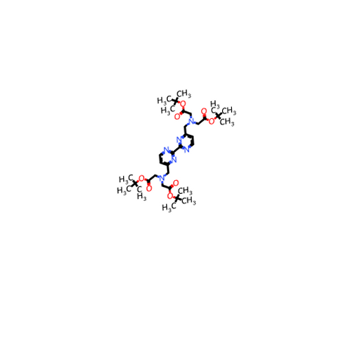 CC(C)(C)OC(=O)CN(CC(=O)OC(C)(C)C)Cc1ccnc(-c2nccc(CN(CC(=O)OC(C)(C)C)CC(=O)OC(C)(C)C)n2)n1